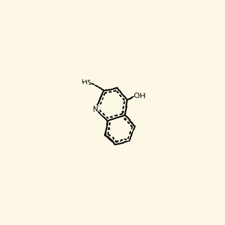 Oc1cc(S)nc2ccccc12